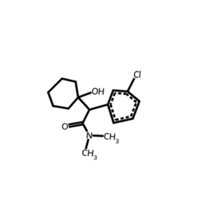 CN(C)C(=O)C(c1cccc(Cl)c1)C1(O)CCCCC1